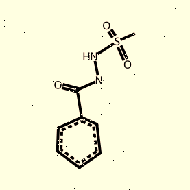 CS(=O)(=O)N[N]C(=O)c1ccccc1